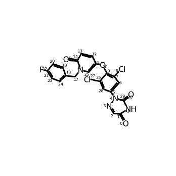 O=c1cnn(-c2cc(Cl)c(Oc3ccc(=O)n(Cc4ccc(F)cc4)c3)c(Cl)c2)c(=O)[nH]1